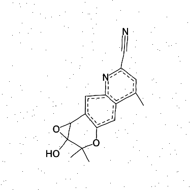 Cc1cc(C#N)nc2cc3c(cc12)OC(C)(C)C1(O)OC31